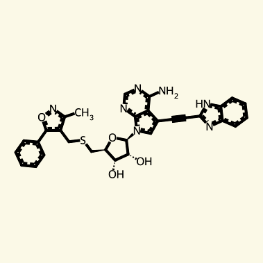 Cc1noc(-c2ccccc2)c1CSC[C@H]1O[C@@H](n2cc(C#Cc3nc4ccccc4[nH]3)c3c(N)ncnc32)[C@H](O)[C@@H]1O